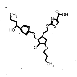 CCCCOC1C[C@H](CCSc2nc(C(=O)O)cs2)[C@@H](CSc2ccc(C(O)CCC)cc2)C1Cl